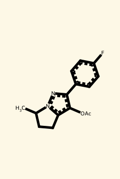 CC(=O)Oc1c(-c2ccc(F)cc2)nn2c1CCC2C